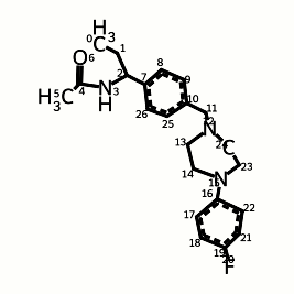 CCC(NC(C)=O)c1ccc(CN2CCN(c3ccc(F)cc3)CC2)cc1